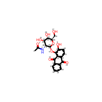 CC(=O)N[C@H]1[C@H](Oc2c(O)ccc3c2C(=O)c2ccccc2C3=O)O[C@H](CO)[C@@H](O)[C@@H]1O